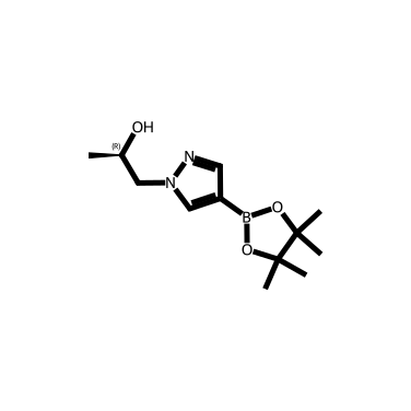 C[C@@H](O)Cn1cc(B2OC(C)(C)C(C)(C)O2)cn1